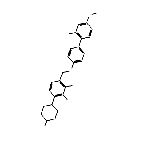 CCOc1ccc(-c2ccc(OCc3ccc(C4CCC(CC)CC4)c(F)c3F)cc2)c(F)c1